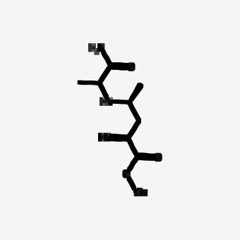 CC(N[C@@H](C)CC(=N)C(=O)OC(C)(C)C)C(N)=O